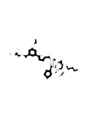 CCCCC[C@@H](C(=O)NCNC(=O)c1ccc(-c2cc(OCC)cc(C(=O)NCC(=O)OC)c2)o1)[C@@H](CC)N(C=O)OCc1ccccc1